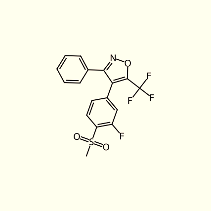 CS(=O)(=O)c1ccc(-c2c(-c3ccccc3)noc2C(F)(F)F)cc1F